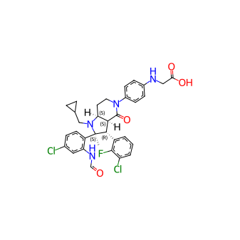 C[C@@]1(c2ccc(Cl)cc2NC=O)[C@@H](c2cccc(Cl)c2F)[C@@H]2C(=O)N(c3ccc(NCC(=O)O)cc3)CC[C@@H]2N1CC1CC1